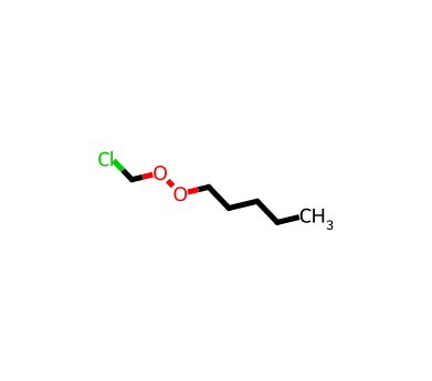 CCCCCOOCCl